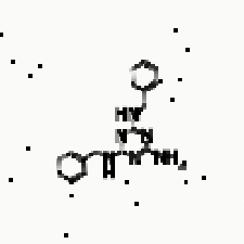 Nc1nc(NCc2ccccc2)nc(NCc2ccccc2)n1